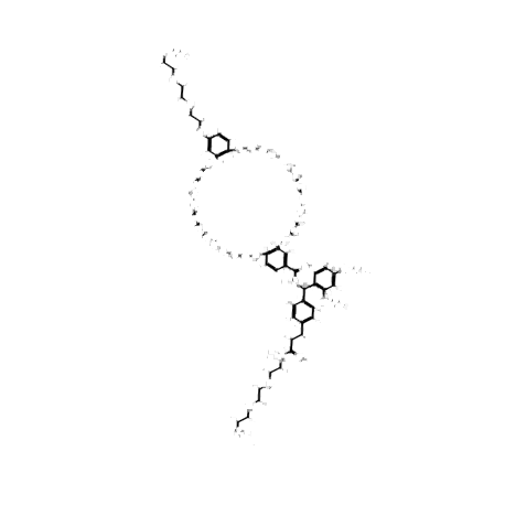 COCCOCCOCCOc1ccc2c(c1)OCCOCCOCCOCCOc1ccc(C(=O)NC(c3ccc(CCC(=O)NCCOCCOCCN)cc3)c3ccc(OC)cc3OC)cc1OCCOCCOCCOCCO2